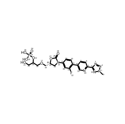 Cn1nnc(-c2ccc(-c3ccc(N4C[C@H](COCC(CO)OP(=O)(O)O)OC4=O)cc3F)cn2)n1